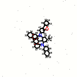 CC(C)(C)c1cc(N(c2ccccc2)c2ccc3ccccc3c2)c(-c2cccc(-c3ccccc3)c2)c(N(c2ccccc2)c2ccc3c(c2)oc2ccccc23)c1